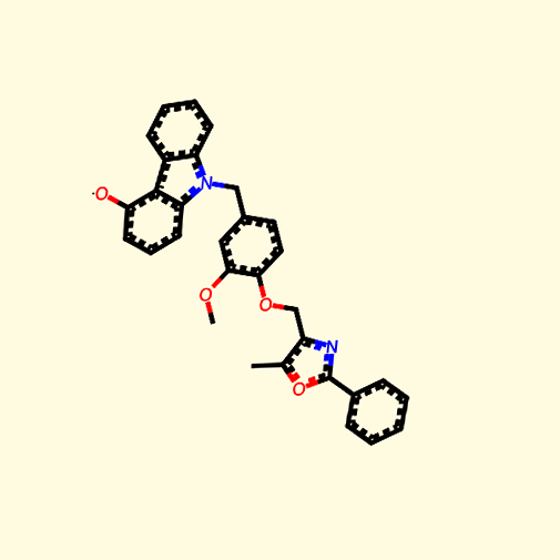 COc1cc(Cn2c3ccccc3c3c([O])cccc32)ccc1OCc1nc(-c2ccccc2)oc1C